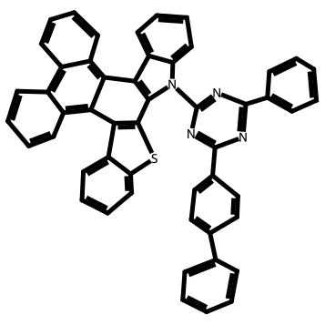 c1ccc(-c2ccc(-c3nc(-c4ccccc4)nc(-n4c5ccccc5c5c6c7ccccc7c7ccccc7c6c6c7ccccc7sc6c54)n3)cc2)cc1